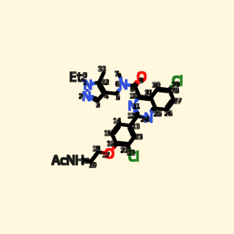 CCn1ncc(CN(C)C(=O)c2nc(-c3ccc(OCCNC(C)=O)c(Cl)c3)nc3ccc(Cl)cc23)c1C